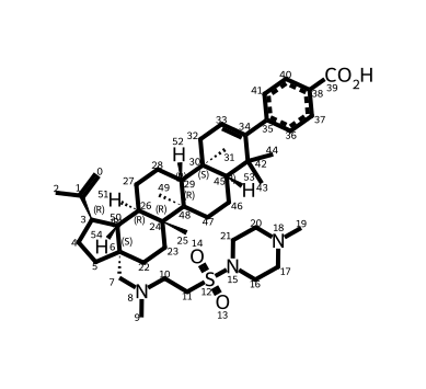 C=C(C)[C@@H]1CC[C@]2(CN(C)CCS(=O)(=O)N3CCN(C)CC3)CC[C@]3(C)[C@H](CC[C@@H]4[C@@]5(C)CC=C(c6ccc(C(=O)O)cc6)C(C)(C)[C@@H]5CC[C@]43C)[C@@H]12